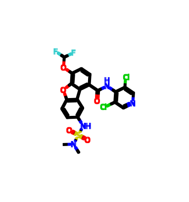 CN(C)S(=O)(=O)Nc1ccc2oc3c(OC(F)F)ccc(C(=O)Nc4c(Cl)cncc4Cl)c3c2c1